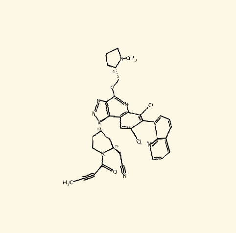 CC#CC(=O)N1CC[C@H](n2nnc3c(OC[C@@H]4CCCN4C)nc4c(Cl)c(-c5cccc6cccnc56)c(Cl)cc4c32)C[C@H]1CC#N